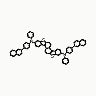 c1ccc(N(c2ccc(-c3ccc4ccccc4c3)cc2)c2ccc3c(c2)sc2ccc4c(ccc5sc6cc(N(c7ccccc7)c7ccc(-c8ccc9ccccc9c8)cc7)ccc6c54)c23)cc1